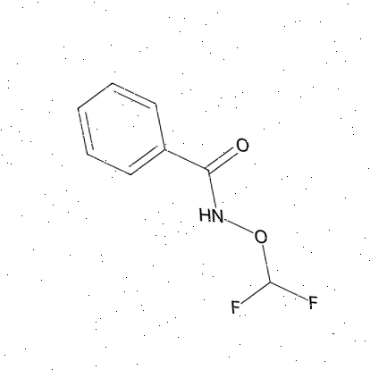 O=C(NOC(F)F)c1ccccc1